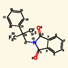 O=C1c2ccccc2C(=O)N1CC(c1ccccc1)(C(F)(F)F)C(F)(F)F